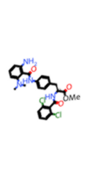 COC(=O)[C@H](Cc1ccc(NC(=O)c2c(N)cccc2N(C)C)cc1)NC(=O)c1c(Cl)cccc1Cl